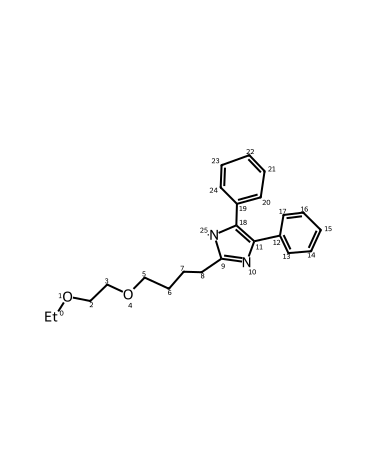 CCOCCOCCCCC1=NC(c2ccccc2)=C(c2ccccc2)[N]1